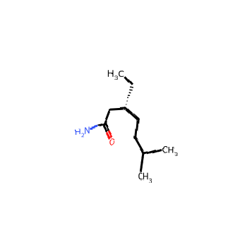 CC[C@H](CCC(C)C)CC(N)=O